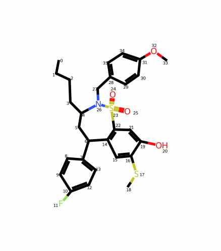 CCCCC1CC(c2ccc(F)cc2)c2cc(SC)c(O)cc2S(=O)(=O)N1Cc1ccc(OC)cc1